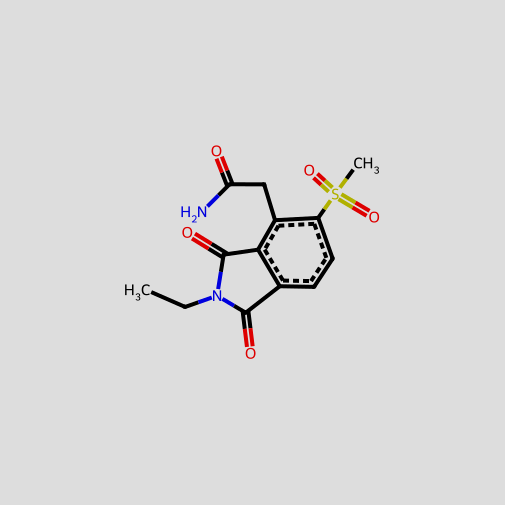 CCN1C(=O)c2ccc(S(C)(=O)=O)c(CC(N)=O)c2C1=O